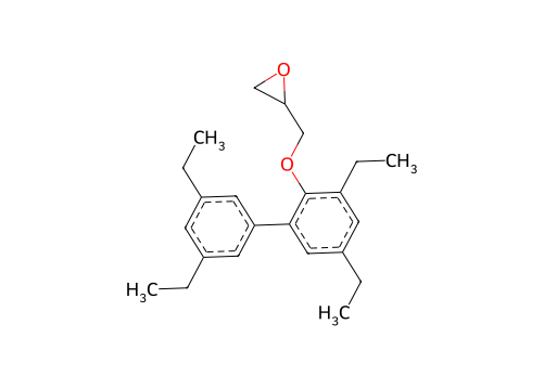 CCc1cc(CC)cc(-c2cc(CC)cc(CC)c2OCC2CO2)c1